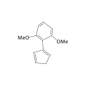 COc1cccc(OC)c1C1=[C]CC=C1